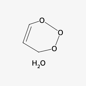 C1=COOOC1.O